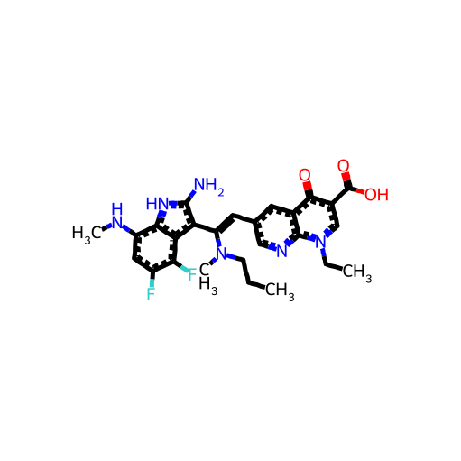 CCCN(C)/C(=C\c1cnc2c(c1)c(=O)c(C(=O)O)cn2CC)c1c(N)[nH]c2c(NC)cc(F)c(F)c12